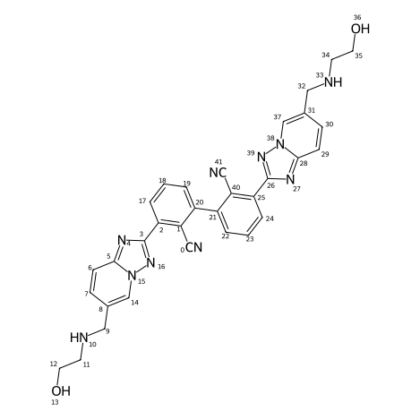 N#Cc1c(-c2nc3ccc(CNCCO)cn3n2)cccc1-c1cccc(-c2nc3ccc(CNCCO)cn3n2)c1C#N